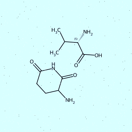 CC(C)[C@H](N)C(=O)O.NC1CCC(=O)NC1=O